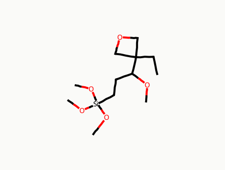 CCC1(C(CC[Si](OC)(OC)OC)OC)COC1